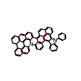 C1=Cc2cccc(-c3ccccc3N(c3cccc(-c4cccc5c4c4ccccc4n5-c4ccccc4)c3)c3ccccc3-c3cccc4c3ccc3ccccc34)c2C(c2ccccc2)C1